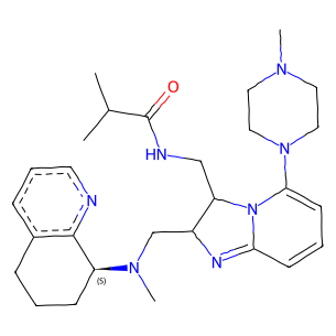 CC(C)C(=O)NCC1C(CN(C)[C@H]2CCCc3cccnc32)N=C2C=CC=C(N3CCN(C)CC3)N21